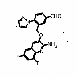 Nc1nc2c(F)cc(F)cc2cc1OCc1cc(C=O)ccc1-n1cccn1